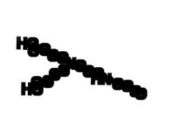 O=COCCOCCOCCCNCCOCCOCCOCCN(CCOCCOCCOCCC(=O)O)CCOCCOCCOCCC(=O)O